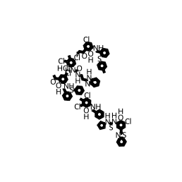 CC(=O)c1cc(Cl)cc(NCc2ccccc2Sc2ccccc2)c1O.Cc1c(Cl)cc(NC(=O)NCCc2nc3ccccc3[nH]2)c(O)c1Cl.Cc1c(Cl)cc(NCc2ccccc2)c(O)c1Cl.Cc1ccc(Sc2ccccc2CNc2cc(Cl)cc(C(=O)CI)c2O)cc1.Oc1c(Cl)cc(-c2nc3ccccc3s2)cc1NC(=S)NC1CCCC1